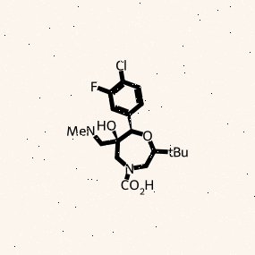 CNC[C@@]1(O)CN(C(=O)O)CC(C(C)(C)C)O[C@@H]1c1ccc(Cl)c(F)c1